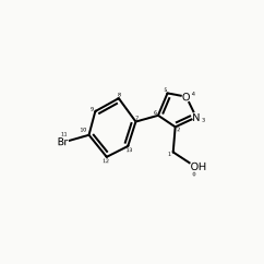 OCc1nocc1-c1ccc(Br)cc1